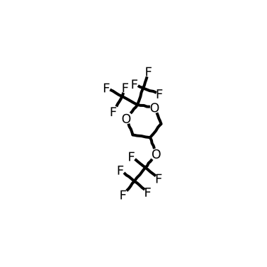 FC(F)(F)C(F)(F)OC1COC(C(F)(F)F)(C(F)(F)F)OC1